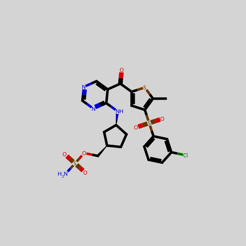 Cc1sc(C(=O)c2cncnc2N[C@H]2CC[C@@H](COS(N)(=O)=O)C2)cc1S(=O)(=O)c1cccc(Cl)c1